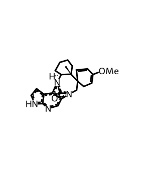 COC1=CCC2(C=C1)Cn1c(=O)n(c3c4cc[nH]c4ncc31)[C@H]1CCCC[C@@]12C